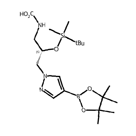 CC1(C)OB(c2cnn(C[C@H](CNC(=O)O)O[Si](C)(C)C(C)(C)C)c2)OC1(C)C